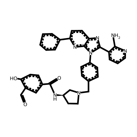 Nc1ncccc1-c1nc2ccc(-c3ccccc3)nc2n1-c1ccc(CN2CC[C@@H](NC(=O)c3ccc(O)c(C=O)c3)C2)cc1